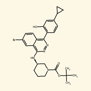 CC(C)(C)OC(=O)N1CCC[C@@H](Nc2nnc(-c3ccc(C4CC4)cc3O)c3ccc(Br)cc23)C1